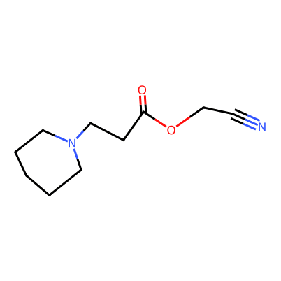 N#CCOC(=O)CCN1CCCCC1